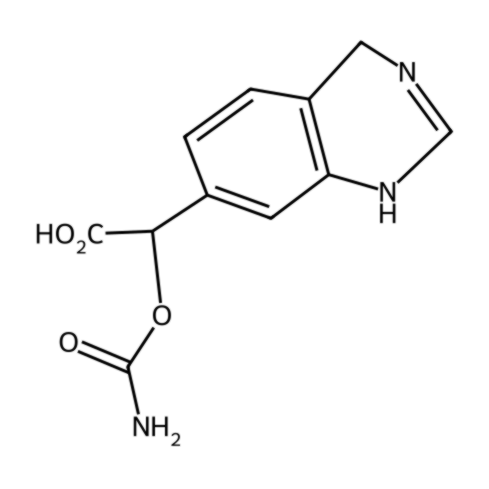 NC(=O)OC(C(=O)O)c1ccc2c(c1)NC=NC2